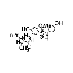 CCCc1nc(C)c2c(=O)[nH]c(-c3cc(S(=O)(=O)Nc4ccc(O)cc4)c(OC)cc3O)nn12